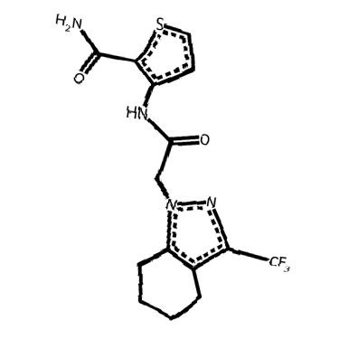 NC(=O)c1sccc1NC(=O)Cn1nc(C(F)(F)F)c2c1CCCC2